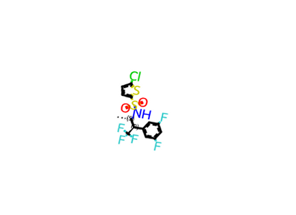 [CH2][C@H](NS(=O)(=O)c1ccc(Cl)s1)[C@@H](c1cc(F)cc(F)c1)C(F)(F)F